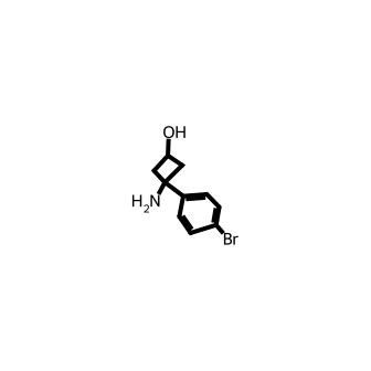 NC1(c2ccc(Br)cc2)CC(O)C1